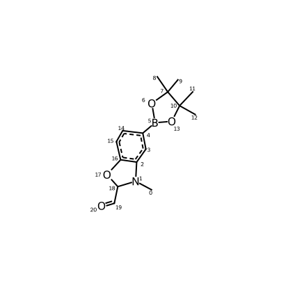 CN1c2cc(B3OC(C)(C)C(C)(C)O3)ccc2OC1C=O